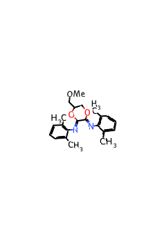 COCC1COC(=Nc2c(C)cccc2C)C(=Nc2c(C)cccc2C)O1